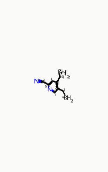 BCc1cnc(C#N)cc1CB